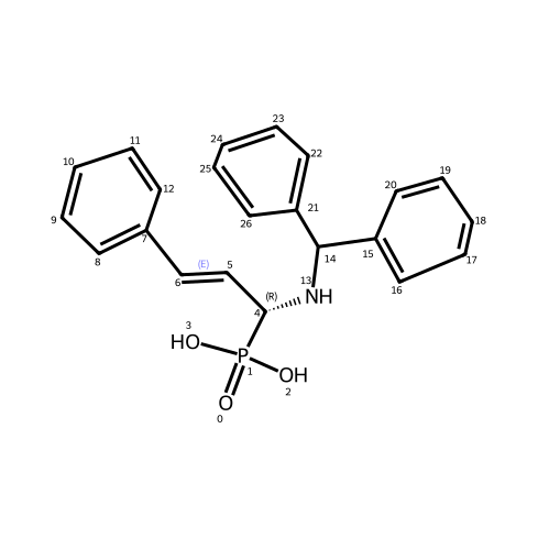 O=P(O)(O)[C@H](/C=C/c1ccccc1)NC(c1ccccc1)c1ccccc1